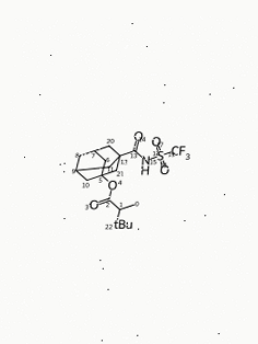 CC(C(=O)OC12CC3CC(C1)CC(C(=O)NS(=O)(=O)C(F)(F)F)(C3)C2)C(C)(C)C